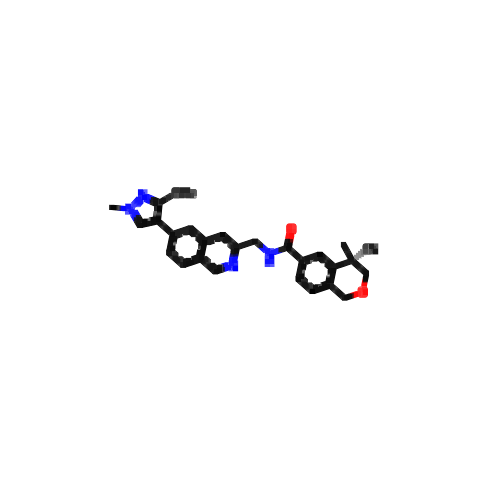 COc1nn(C)cc1-c1ccc2cnc(CNC(=O)c3ccc4c(c3)[C@](C)(C#N)COC4)cc2c1